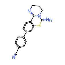 N#Cc1ccc(-c2ccc3c(c2)SC(=N)N2CCCN=C32)cc1